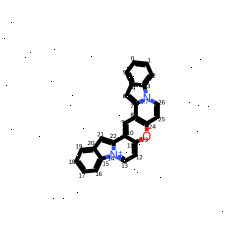 c1ccc2c(c1)cc1c3cc4c(cc[n+]5c6ccccc6cc45)oc3ccn21